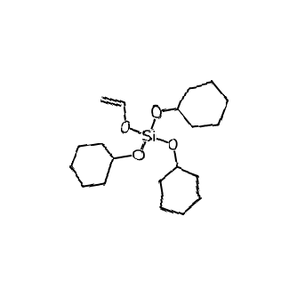 C=CO[Si](OC1CCCCC1)(OC1CCCCC1)OC1CCCCC1